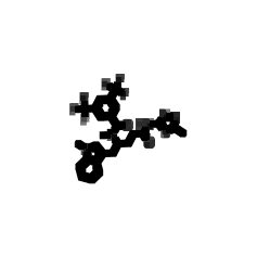 Cc1nnc(NC(=O)CCC(Cc2cn(C)c3ccccc23)N(C)C(=O)c2cc(C(F)(F)F)cc(C(F)(F)F)c2)s1